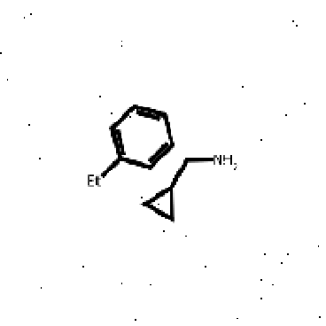 CCc1ccccc1.NCC1CC1